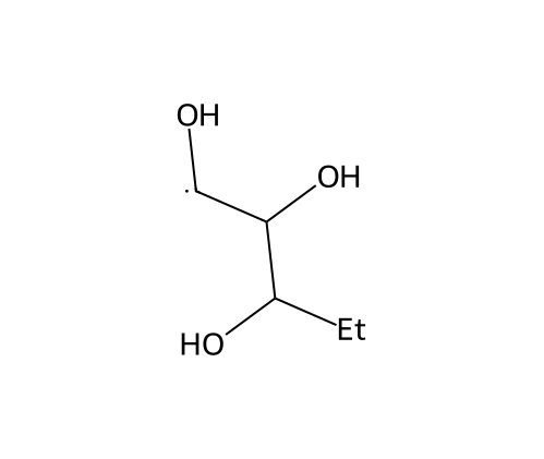 [CH2]CC(O)C(O)[CH]O